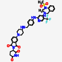 CN(c1ccccc1CNc1cc(Nc2ccc(CNC3CCN(c4ccc5c(c4)C(=O)N(C4CCC(=O)NC4=O)C5=O)CC3)cc2)ncc1C(F)(F)F)S(C)(=O)=O